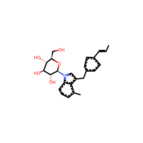 C/C=C/c1ccc(Cc2cn([C@@H]3O[C@H](CO)[C@@H](O)[C@H](O)[C@H]3O)c3cccc(C)c23)cc1